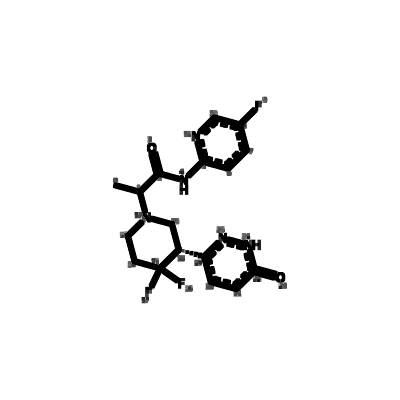 CC(C(=O)Nc1ccc(F)cn1)N1CCC(F)(F)[C@@H](c2ccc(=O)[nH]n2)C1